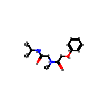 CC(C)NC(=O)CN(C)C(=O)COc1ccccc1